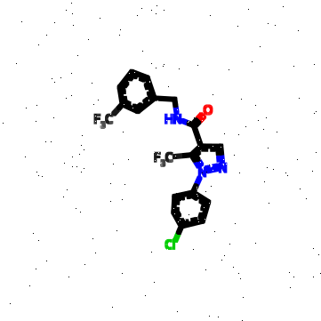 O=C(NCc1cccc(C(F)(F)F)c1)c1cnn(-c2ccc(Cl)cc2)c1C(F)(F)F